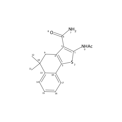 CC(=O)Nc1sc2c(c1C(N)=O)CC(C)(C)c1ccccc1-2